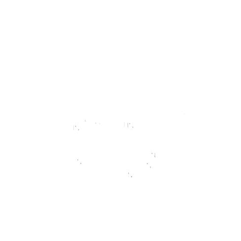 O=C(Nc1cncc(-c2cnc3[nH]nc(-c4cc5c(-c6ccsc6)cccc5[nH]4)c3c2)c1)c1ccccc1